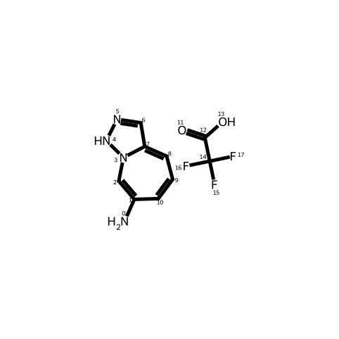 NC1=CN2NN=CC2=CC=C1.O=C(O)C(F)(F)F